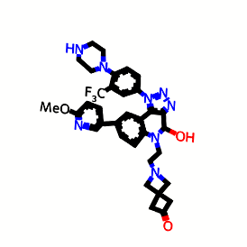 COc1ccc(-c2ccc3c(c2)-c2c(nnn2-c2ccc(N4CCNCC4)c(C(F)(F)F)c2)C(O)N3CCN2CC3(CC(=O)C3)C2)cn1